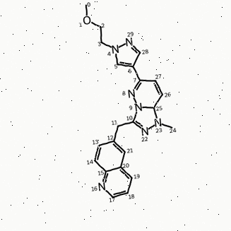 COCCn1cc(C2=NN3C(Cc4ccc5ncccc5c4)=NN(C)C3C=C2)cn1